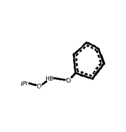 CC(C)OBOc1ccccc1